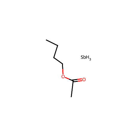 CCCCOC(C)=O.[SbH3]